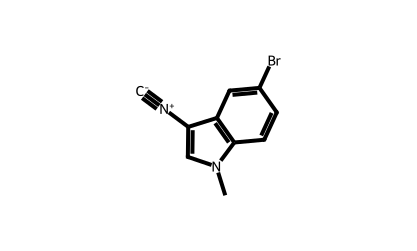 [C-]#[N+]c1cn(C)c2ccc(Br)cc12